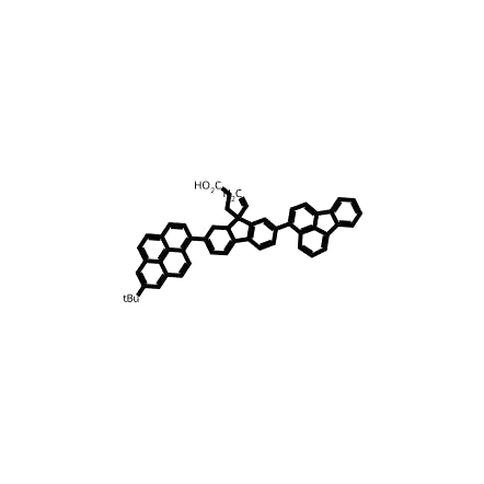 C=CC1(CCC(=O)O)c2cc(-c3ccc4c5c(cccc35)-c3ccccc3-4)ccc2C2=CC=C(c3ccc4ccc5cc(C(C)(C)C)cc6ccc3c4c56)CC21